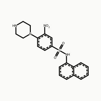 O=[N+]([O-])c1cc(S(=O)(=O)Nc2cccc3ccccc23)ccc1N1CCNCC1